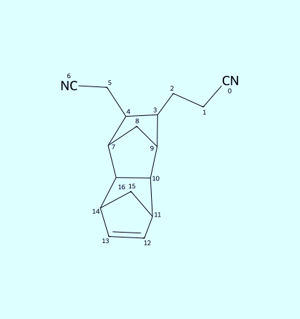 N#CCCC1C(CC#N)C2CC1C1C3C=CC(C3)C21